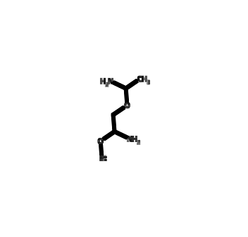 CCOC(N)COC(C)N